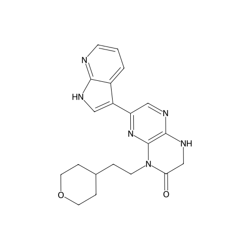 O=C1CNc2ncc(-c3c[nH]c4ncccc34)nc2N1CCC1CCOCC1